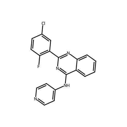 Fc1ccc(Cl)cc1-c1nc(Nc2ccncc2)c2ccccc2n1